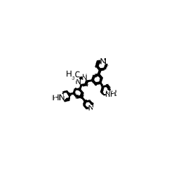 Cc1nc(-c2cc(C3=CCNC=C3)cc(-c3ccncc3)c2)cc(-c2cc(C3=CCNC=C3)cc(-c3ccncc3)c2)n1